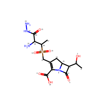 CC(O)C1C(=O)N2C(C(=O)O)=C(CS(=O)(=O)C(C)C(N)C(=O)NN)CC12